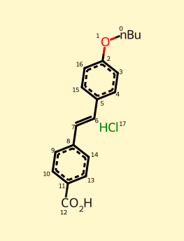 CCCCOc1ccc(C=Cc2ccc(C(=O)O)cc2)cc1.Cl